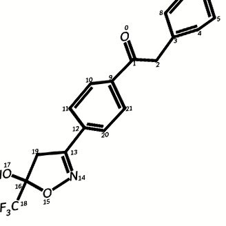 O=C(Cc1ccccc1)c1ccc(C2=NOC(O)(C(F)(F)F)C2)cc1